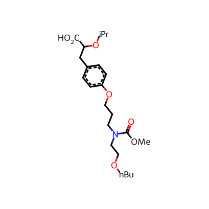 CCCCOCCN(CCCOc1ccc(CC(OC(C)C)C(=O)O)cc1)C(=O)OC